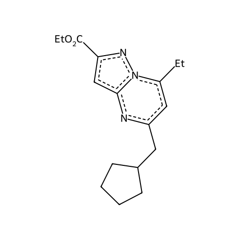 CCOC(=O)c1cc2nc(CC3CCCC3)cc(CC)n2n1